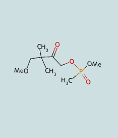 COCC(C)(C)C(=O)COP(C)(=O)OC